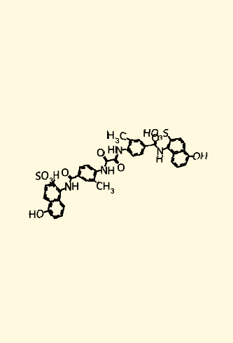 Cc1cc(C(=O)Nc2c(S(=O)(=O)O)ccc3c(O)cccc23)ccc1NC(=O)C(=O)Nc1ccc(C(=O)Nc2c(S(=O)(=O)O)ccc3c(O)cccc23)cc1C